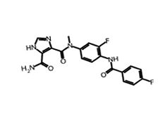 CN(C(=O)c1nc[nH]c1C(N)=O)c1ccc(NC(=O)c2ccc(F)cc2)c(F)c1